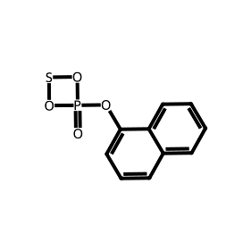 O=P1(Oc2cccc3ccccc23)OSO1